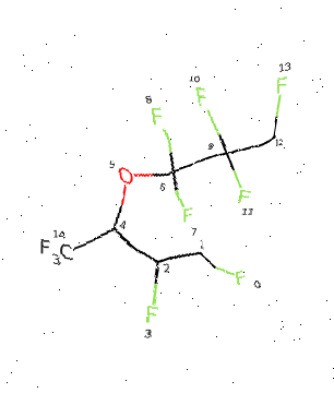 FCC(F)C(OC(F)(F)C(F)(F)CF)C(F)(F)F